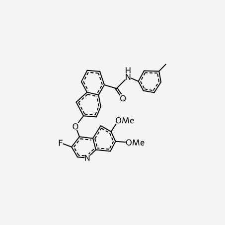 COc1cc2ncc(F)c(Oc3ccc4c(C(=O)Nc5cccc(C)c5)cccc4c3)c2cc1OC